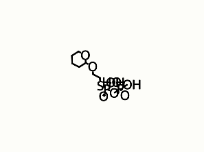 O=P(O)(O)OP(=O)(O)SCCOC1CCCCO1